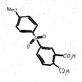 COc1ccc(S(=O)(=O)c2ccc(C(=O)O)c(C(=O)O)c2)cc1